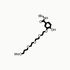 COCCCOCCOCCOCCOc1cc(C(=O)NC(C)(C)C)ccc1O